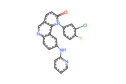 O=c1ccc2cnc3ccc(Nc4ccccn4)cc3c2n1-c1ccc(F)c(Cl)c1